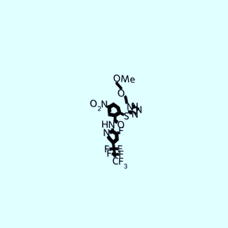 COCCOCCn1nnnc1Sc1ccc([N+](=O)[O-])cc1C(=O)Nc1ncc(C(F)(F)C(F)(F)C(F)(F)F)cc1F